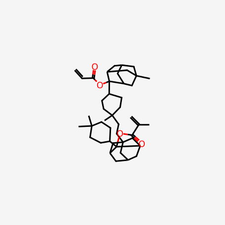 C=CC(=O)OC1(C2CCC(C)(CCC34CC5CC(C3)C(OC(=O)C(=C)C)(C3CCC(C)(C)CC3)C(C5)C4)CC2)C2CC3CC1CC(C)(C3)C2